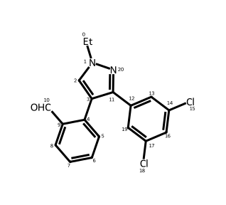 CCn1cc(-c2ccccc2C=O)c(-c2cc(Cl)cc(Cl)c2)n1